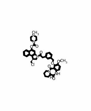 COc1ccc2c(c1OCc1cccc(CC(=O)N3C[C@@H](CCl)c4c3cc(OC(=O)N3CCN(C)CC3)c3ccccc43)c1)C(=O)N1CCCC[C@H]1C(=O)N2